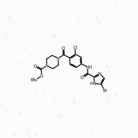 CC(C)(C)OC(=O)N1CCN(C(=O)c2ccc(NC(=O)c3ncc(Br)[nH]3)cc2Cl)CC1